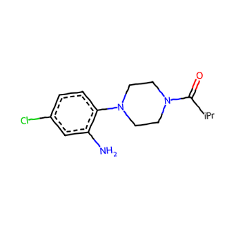 CC(C)C(=O)N1CCN(c2ccc(Cl)cc2N)CC1